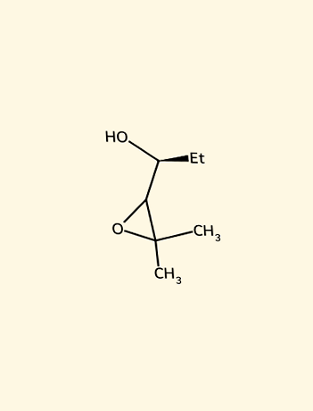 CC[C@H](O)C1OC1(C)C